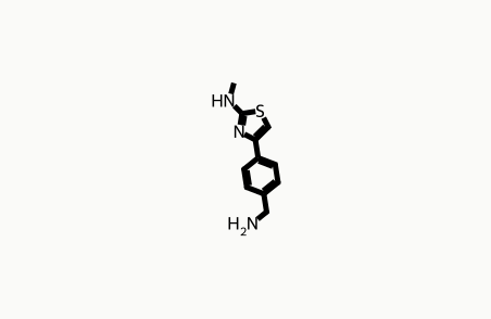 CNc1nc(-c2ccc(CN)cc2)cs1